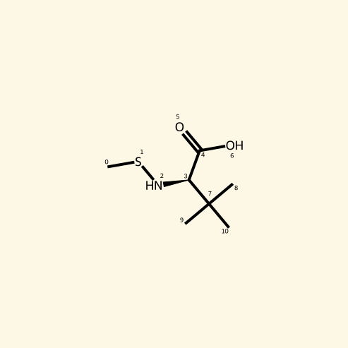 CSN[C@@H](C(=O)O)C(C)(C)C